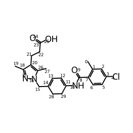 Cc1cc(Cl)ccc1C(=O)NC1=CC=C(Cn2nc(C)c(CCC(=O)O)c2C)CC1